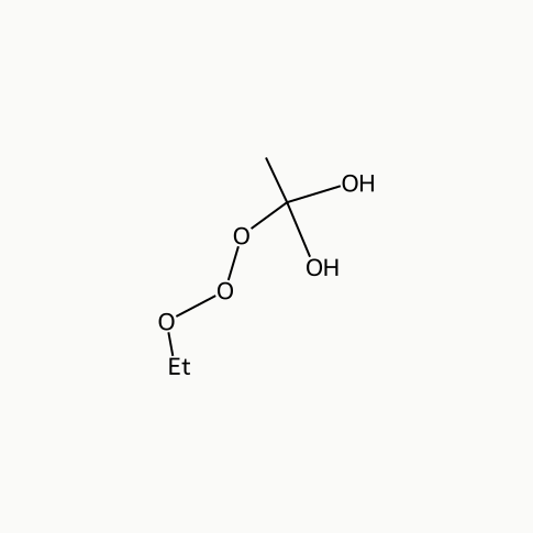 CCOOOC(C)(O)O